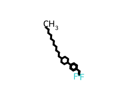 CCCCCCCCCCCCC1CCC(c2ccc(C=C(F)F)cc2)CC1